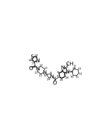 Cc1nc2cc(C(=O)N3CC(N4CCN(C(=O)c5cscn5)CC4)C3)ccc2n1C1CCCCC1